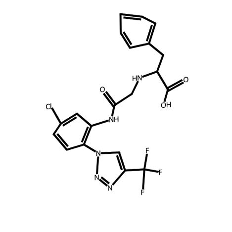 O=C(CNC(Cc1ccccc1)C(=O)O)Nc1cc(Cl)ccc1-n1cc(C(F)(F)F)nn1